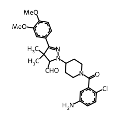 COc1ccc(C2=NN(C3CCN(C(=O)c4cc(N)ccc4Cl)CC3)C(C=O)C2(C)C)cc1OC